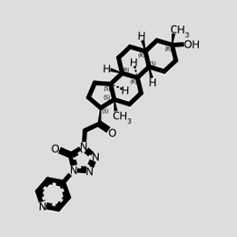 C[C@@]1(O)CC[C@H]2[C@H](CC[C@@H]3[C@@H]2CC[C@]2(C)[C@@H](C(=O)Cn4nnn(-c5ccncc5)c4=O)CC[C@@H]32)C1